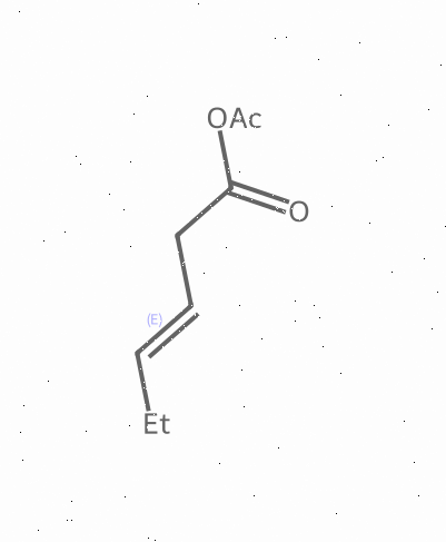 CC/C=C/CC(=O)OC(C)=O